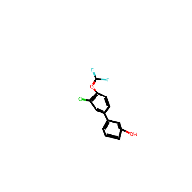 Oc1cccc(-c2ccc(OC(F)F)c(Cl)c2)c1